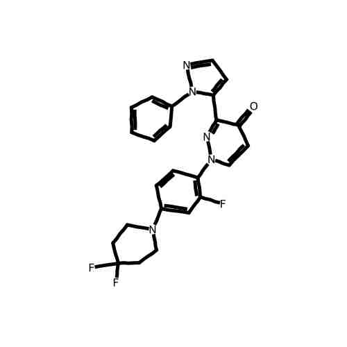 O=c1ccn(-c2ccc(N3CCC(F)(F)CC3)cc2F)nc1-c1ccnn1-c1ccccc1